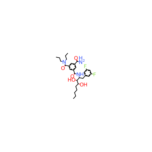 CCCCCC(O)C(O)C(Cc1cc(F)cc(F)c1)NC(=O)c1cc(C(N)=O)cc(C(=O)N(CCC)CCC)c1